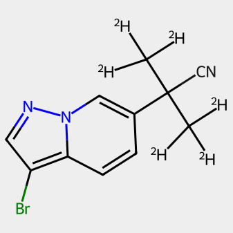 [2H]C([2H])([2H])C(C#N)(c1ccc2c(Br)cnn2c1)C([2H])([2H])[2H]